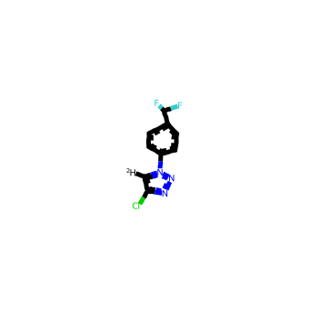 [2H]c1c(Cl)nnn1-c1ccc(C(F)F)cc1